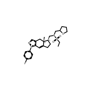 CCS(=O)(=O)N(CC1CCCO1)C[C@H]1CCC2=Cc3c(cnn3-c3ccc(F)cc3)C[C@@]21C